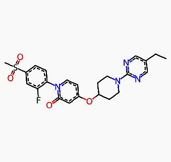 CCc1cnc(N2CCC(Oc3ccn(-c4ccc(S(C)(=O)=O)cc4F)c(=O)c3)CC2)nc1